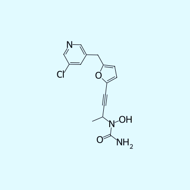 CC(C#Cc1ccc(Cc2cncc(Cl)c2)o1)N(O)C(N)=O